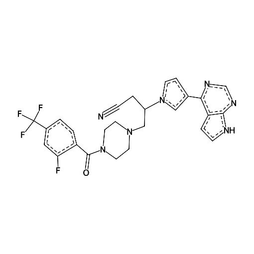 N#CCC(CN1CCN(C(=O)c2ccc(C(F)(F)F)cc2F)CC1)n1ccc(-c2ncnc3[nH]ccc23)c1